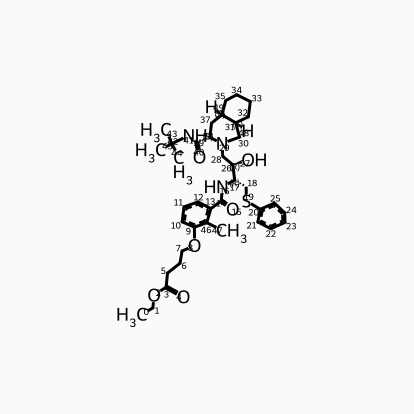 CCOC(=O)CCCOc1cccc(C(=O)N[C@@H](CSc2ccccc2)[C@H](O)CN2C[C@H]3CCCC[C@H]3C[C@H]2C(=O)NC(C)(C)C)c1C